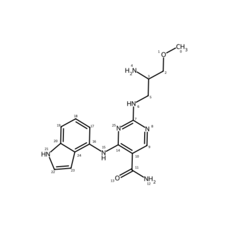 COCC(N)CNc1ncc(C(N)=O)c(Nc2cccc3[nH]ccc23)n1